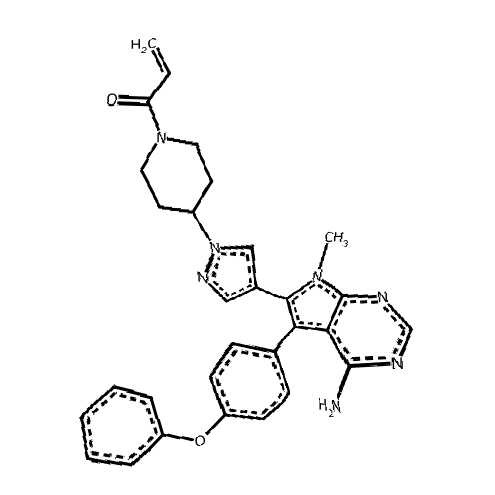 C=CC(=O)N1CCC(n2cc(-c3c(-c4ccc(Oc5ccccc5)cc4)c4c(N)ncnc4n3C)cn2)CC1